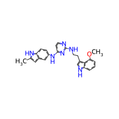 COc1cccc2[nH]cc(CCNc3nccc(Nc4ccc5[nH]c(C)cc5c4)n3)c12